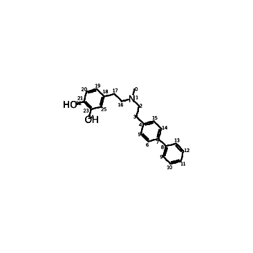 CN(CCc1ccc(-c2ccccc2)cc1)CCc1ccc(O)c(O)c1